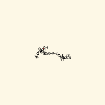 Cc1ncsc1-c1ccc(CNC(=O)[C@@H]2C[C@@H](O)CN2C(=O)[C@@H](NC(=O)CCCOCCOCCCOc2ccc(N3C(=S)N(c4ccc(C#N)c(C(F)(F)F)c4)C(=O)C3(C)C)cc2)C(C)(C)C)cc1